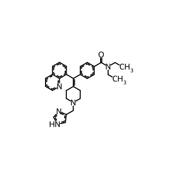 CCN(CC)C(=O)c1ccc(C(=C2CCN(Cc3c[nH]cn3)CC2)c2cccc3cccnc23)cc1